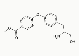 COC(=O)c1ccc(Oc2ccc(CC(N)CO)cc2)nc1